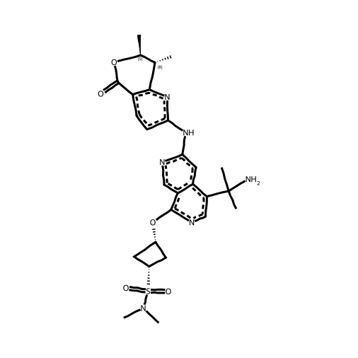 C[C@@H]1OC(=O)c2ccc(Nc3cc4c(C(C)(C)N)cnc(O[C@H]5C[C@@H](S(=O)(=O)N(C)C)C5)c4cn3)nc2[C@H]1C